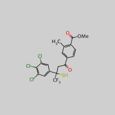 COC(=O)c1ccc(C(=O)CC(S)(c2cc(Cl)c(Cl)c(Cl)c2)C(F)(F)F)cc1C